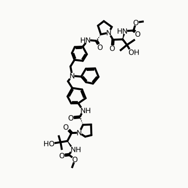 COC(=O)N[C@H](C(=O)N1CCC[C@H]1C(=O)Nc1ccc(CN(Cc2ccc(NC(=O)[C@@H]3CCCN3C(=O)[C@@H](NC(=O)OC)C(C)(C)O)cc2)c2ccccc2)cc1)C(C)(C)O